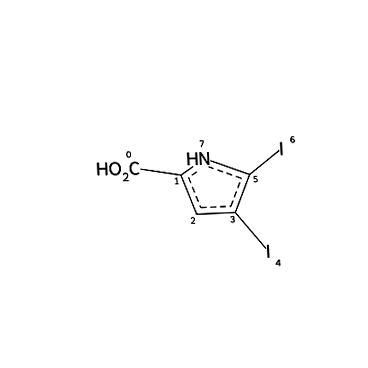 O=C(O)c1cc(I)c(I)[nH]1